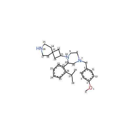 COc1ccc(CN2CCN(C3CC4(CCNCC4)C3)C(c3ccccc3C(C)C)C2)cc1